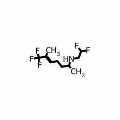 C/C(=C\CCC(C)NCC(F)F)C(F)(F)F